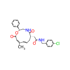 CC1=C/C(=O)O[C@@H](c2ccccc2)CNC(=O)[C@H](CC(=O)NCc2ccc(Cl)cc2)C\C=C\1